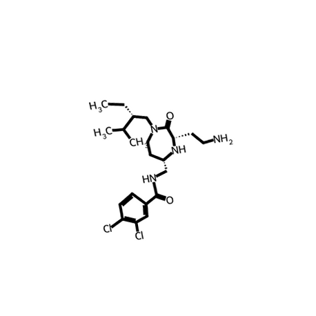 CC[C@H](CN1CC[C@@H](CNC(=O)c2ccc(Cl)c(Cl)c2)N[C@@H](CCN)C1=O)C(C)C